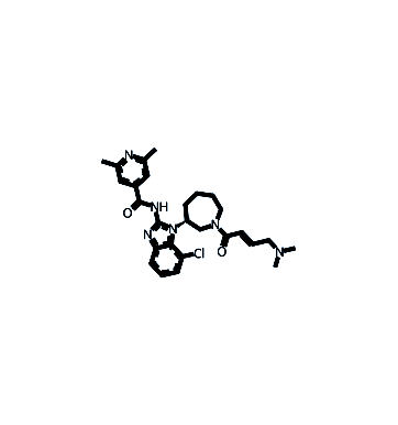 Cc1cc(C(=O)Nc2nc3cccc(Cl)c3n2[C@H]2CCCCN(C(=O)C=CCN(C)C)C2)cc(C)n1